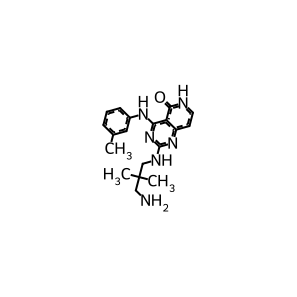 Cc1cccc(Nc2nc(NCC(C)(C)CN)nc3cc[nH]c(=O)c23)c1